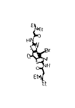 CCN(CC)CC(=O)Nc1nc2c(Br)c3nc(NC(=O)CN(CC)CC)sc3c(Cl)c2s1